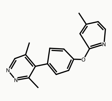 Cc1ccnc(Oc2ccc(-c3c(C)cnnc3C)cc2)c1